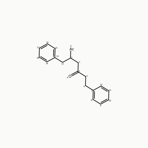 CC(=O)C(CC(=O)CCc1ccccc1)Cc1ccccc1